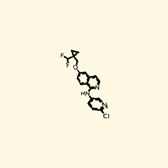 FC(F)C1(COc2ccc3c(Nc4ccc(Cl)nc4)nccc3c2)CC1